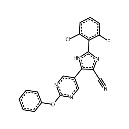 N#Cc1nc(-c2c(F)cccc2Cl)[nH]c1-c1cnc(Oc2ccccc2)nc1